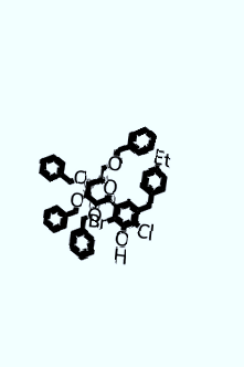 CCc1ccc(Cc2cc([C@@H]3O[C@H](COCc4ccccc4)[C@@H](OCc4ccccc4)[C@H](OCc4ccccc4)[C@H]3OCc3ccccc3)c(Br)c(O)c2Cl)cc1